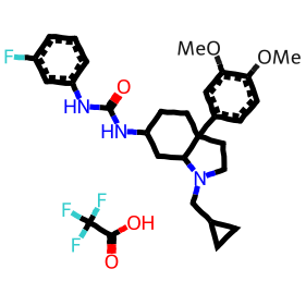 COc1ccc(C23CCC(NC(=O)Nc4cccc(F)c4)CC2N(CC2CC2)CC3)cc1OC.O=C(O)C(F)(F)F